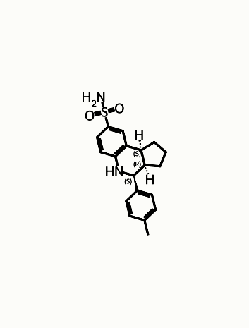 Cc1ccc([C@H]2Nc3ccc(S(N)(=O)=O)cc3[C@H]3CCC[C@H]32)cc1